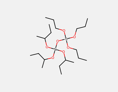 CCC[O][Ti]([O]CCC)([O]CCC)[O][Si](OC(C)CC)(OC(C)CC)OC(C)CC